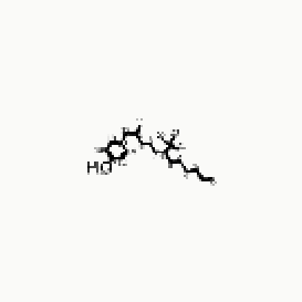 CCCCCCC(CCCC(C)Cc1ccc(O)cc1)C(C)(C)C